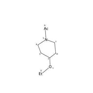 [CH2]COC1CCN(C(C)=O)CC1